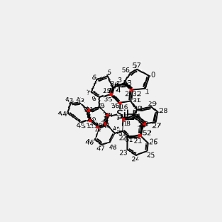 c1ccc(-c2cccc(-c3ccccc3)c2C[SiH](Cc2c(-c3ccccc3)cccc2-c2ccccc2)Cc2c(-c3ccccc3)cccc2-c2ccccc2)cc1